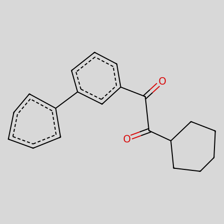 O=C(C(=O)C1CCCCC1)c1cccc(-c2ccccc2)c1